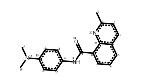 Cc1ccc2cccc(C(=O)Nc3ccc(N(C)C)cc3)c2n1